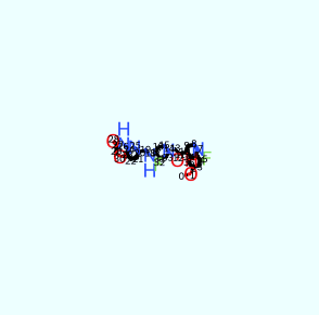 COc1cc(F)c2nccc([C@@H](O)CN3CC[C@H](NCc4ccc5c(n4)NC(=O)CO5)[C@H](F)C3)c2c1